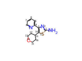 Nc1nc(-c2ccccn2)c(C2CCOCC2)s1